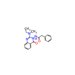 CCN(C)c1nc2ccccc2c(=O)n1NC(=O)Cc1ccccc1